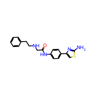 Nc1nc(-c2ccc(NC(=O)CNCCc3ccccc3)cc2)cs1